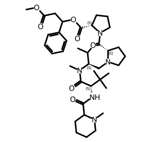 COC(=O)CC(OC(=O)[C@@H]1CCCN1C(=O)[C@@H]1CCCN1C[C@H](C(C)C)N(C)C(=O)[C@@H](NC(=O)C1CCCCN1C)C(C)(C)C)c1ccccc1